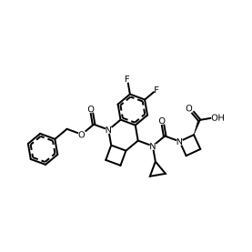 O=C(O)[C@H]1CCN1C(=O)N(C1CC1)C1c2cc(F)c(F)cc2N(C(=O)OCc2ccccc2)C2CCC21